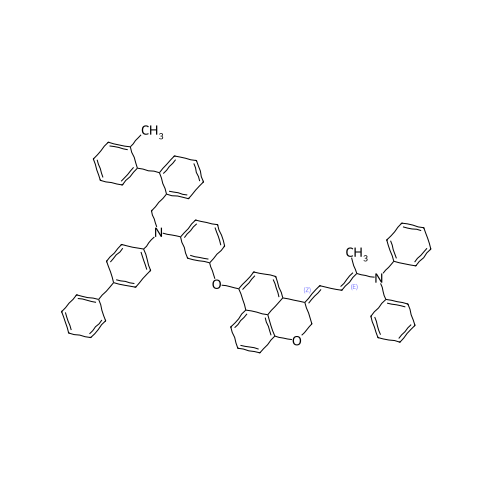 C/C(=C\C=C1/COc2cccc3c(Oc4cccc(N(Cc5ccccc5-c5ccccc5C)c5ccc(-c6ccccc6)cc5)c4)ccc1c23)N(c1ccccc1)c1ccccc1